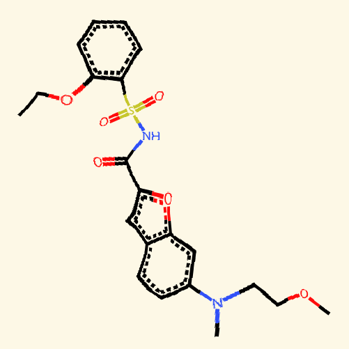 CCOc1ccccc1S(=O)(=O)NC(=O)c1cc2ccc(N(C)CCOC)cc2o1